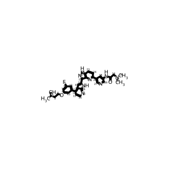 CN(C)CCOc1cc(F)cc(-c2ccnc3[nH]c(-c4n[nH]c5ccc(-c6cncc(NC(=O)CN(C)C)c6)nc45)cc23)c1